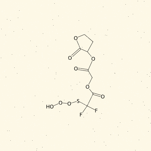 O=C(COC(=O)C(F)(F)SOOO)OC1CCOC1=O